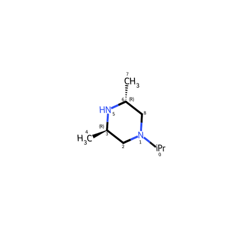 CC(C)N1C[C@@H](C)N[C@H](C)C1